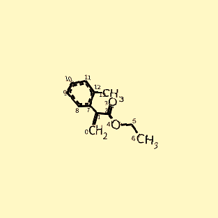 C=C(C(=O)OCC)c1ccccc1C